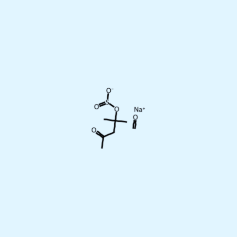 C=O.CC(=O)CC(C)(C)OS(=O)[O-].[Na+]